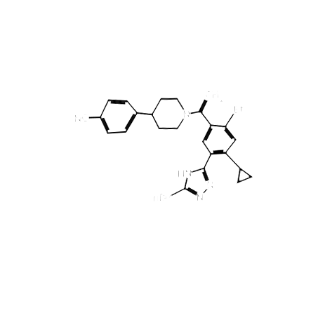 C=C(c1cc(-c2nnc(CCCC)[nH]2)c(C2CC2)cc1CC)N1CCC(c2ccc(C#N)cc2)CC1